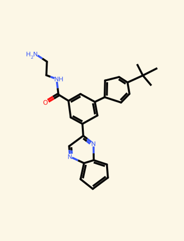 CC(C)(C)c1ccc(-c2cc(C(=O)NCCN)cc(-c3cnc4ccccc4n3)c2)cc1